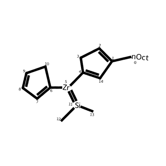 CCCCCCCCC1=CC[C]([Zr]([C]2=CC=CC2)=[Si](C)C)=C1